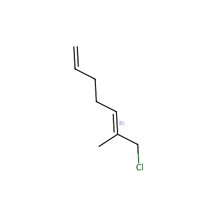 C=CCC/C=C(\C)CCl